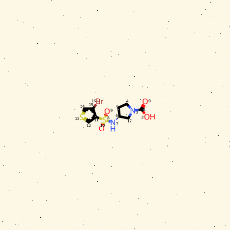 O=C(O)N1CC[C@@H](NS(=O)(=O)c2cscc2Br)C1